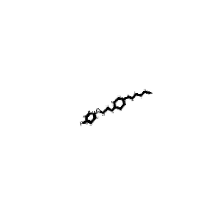 CCCCCCC1CCC(CCCOc2ccc(F)cc2)CC1